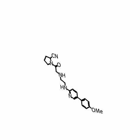 COc1ccc(-c2ccc(NCCNCC(=O)N3CCCC3C#N)nc2)cc1